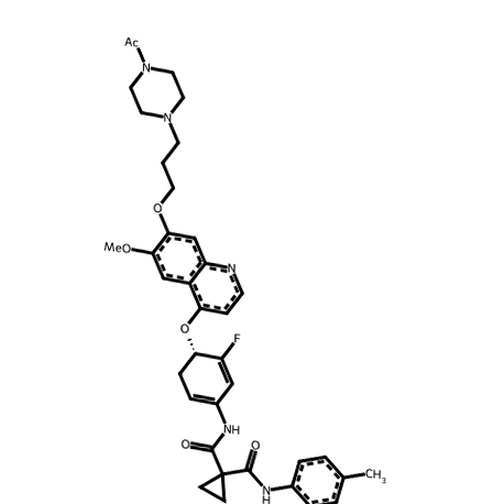 COc1cc2c(O[C@H]3CC=C(NC(=O)C4(C(=O)Nc5ccc(C)cc5)CC4)C=C3F)ccnc2cc1OCCCN1CCN(C(C)=O)CC1